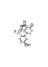 O=C1CCC(c2cccc(O)c2)c2c(C(F)(F)F)n[nH]c21